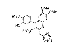 CCOC(=O)c1c(Cc2nc[nH]n2)nc2cc(OC)c(OC)cc2c1-c1ccc(OC)c(O)c1